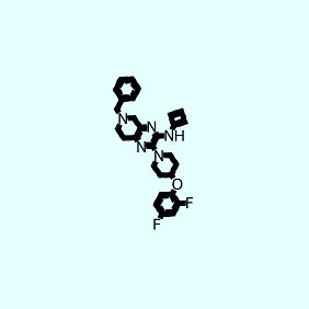 Fc1ccc(OC2CCN(c3nc4c(nc3NC3=CC=C3)CN(Cc3ccccc3)CC4)CC2)c(F)c1